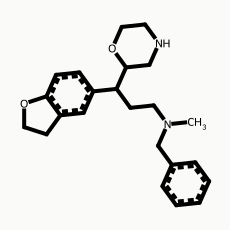 CN(CCC(c1ccc2c(c1)CCO2)C1CNCCO1)Cc1ccccc1